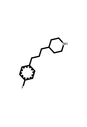 Fc1ccc(CCCC2CCNCC2)cc1